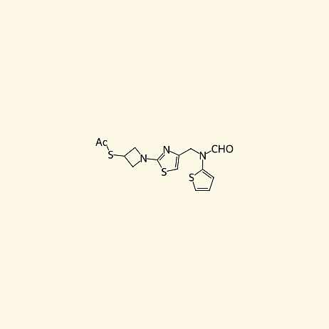 CC(=O)SC1CN(c2nc(CN(C=O)c3cccs3)cs2)C1